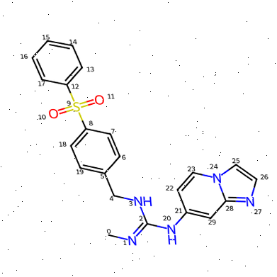 C/N=C(\NCc1ccc(S(=O)(=O)c2ccccc2)cc1)Nc1ccn2ccnc2c1